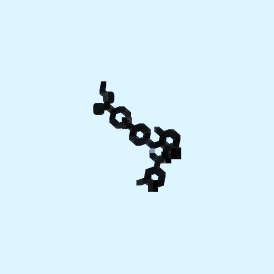 CCOC(=O)C1CCN(c2ccc([C@@H](C/C(=N\O)c3ccnc(C)c3)c3ccccc3C)cc2)CC1